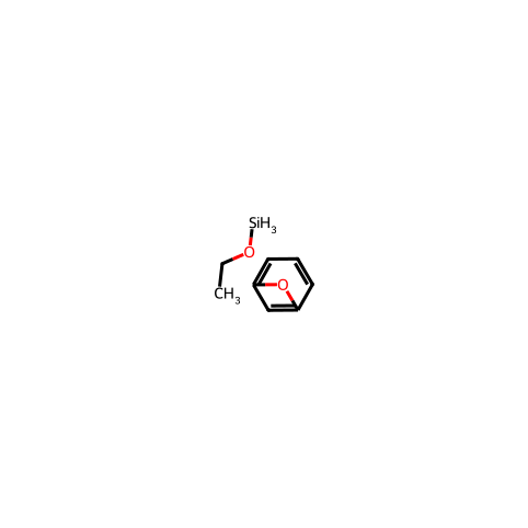 CCO[SiH3].c1cc2cc(c1)O2